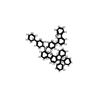 C1=CCCC(C2(c3ccccc3)c3ccccc3-c3c2ccc2c3sc3c(N(c4ccc(-c5cccc6c5sc5ccccc56)cc4)C4C=CC(C5C=CC=CC5)=CC4)cccc32)=C1